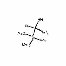 CCC(N)(S)[Si](OC)(OC)OC